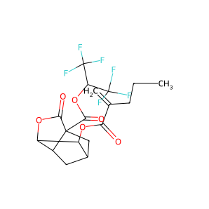 C=C(CCC)C(=O)OC1C2CC3C1OC(=O)C3(C(=O)OC(C(F)(F)F)C(F)(F)F)C2